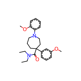 CCN(CC)C(=O)C1(c2cccc(OC)c2)CCCN(c2ccccc2OC)CC1